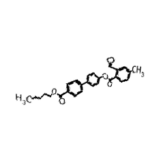 CCCCCOC(=O)c1ccc(-c2ccc(OC(=O)c3ccc(C)cc3C=O)cc2)cc1